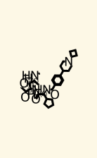 CN[C@H]1CN(C(=O)[C@@H](NC(=O)c2ccc(C3CCN(C4CCC4)CC3)cc2)C2CCCC2)[C@@H]2C(=O)CO[C@H]12